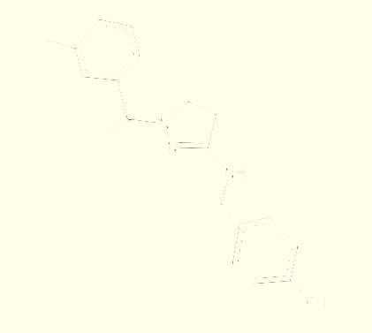 Cc1ccc(CNC2=NN(C(=O)c3cccc(F)c3)CC2)cc1